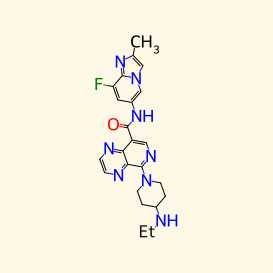 CCNC1CCN(c2ncc(C(=O)Nc3cc(F)c4nc(C)cn4c3)c3nccnc23)CC1